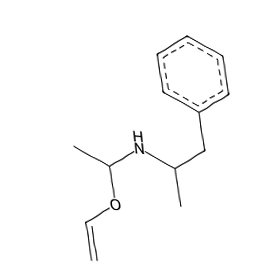 C=COC(C)NC(C)Cc1ccccc1